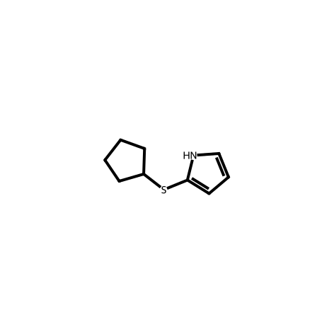 c1c[nH]c(SC2CCCC2)c1